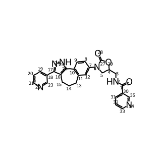 O=C(NCC1CN(c2ccc3c(c2)CCCc2c(-c4cccnc4)n[nH]c2-3)C(=O)O1)c1cccnc1